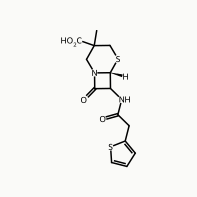 CC1(C(=O)O)CS[C@@H]2C(NC(=O)Cc3cccs3)C(=O)N2C1